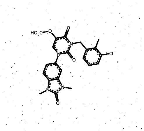 Cc1c(Cl)cccc1Cn1c(=O)c(OC(=O)O)cn(-c2ccc3c(c2)n(C)c(=O)n3C)c1=O